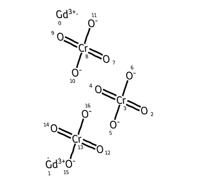 [Gd+3].[Gd+3].[O]=[Cr](=[O])([O-])[O-].[O]=[Cr](=[O])([O-])[O-].[O]=[Cr](=[O])([O-])[O-]